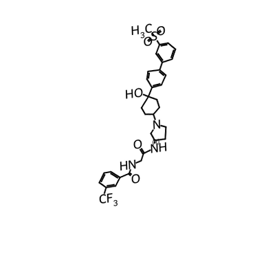 CS(=O)(=O)c1cccc(-c2ccc(C3(O)CCC(N4CC[C@@H](NC(=O)CNC(=O)c5cccc(C(F)(F)F)c5)C4)CC3)cc2)c1